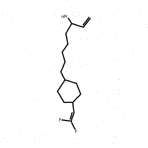 C=CC(CCC)CCCCCC1CCC(C=C(F)F)CC1